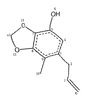 C=CCc1cc(O)c2c(c1C)OCO2